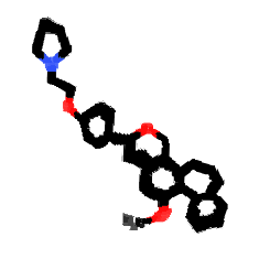 COc1cc2c(c3c1=c1ccccc1=CC=C3)COC(c1ccc(OCCN3CCCC3)cc1)C=2